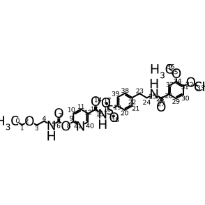 CCOCCNC(=O)Oc1ccc(C(=O)NS(=O)(=O)c2ccc(CCNC(=O)c3ccc(OC)c(OC)c3)cc2)cn1